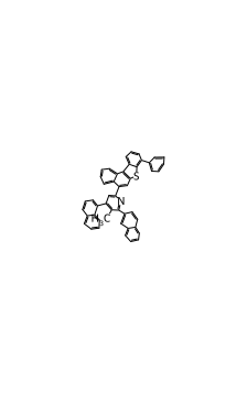 Cc1c(-c2cccc3ccccc23)cc(-c2cc3sc4c(-c5ccccc5)cccc4c3c3ccccc23)nc1-c1ccc2ccccc2c1